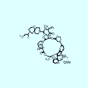 C=CC(=O)N1CCOC2(CCN(C(=O)N(C)C(C(=O)N[C@H]3C[C@H]4CN(CCO4)c4ccc5c(c4)c(c(-c4cccnc4[C@H](C)OC)n5CC)CC(C)(C)COC(=O)[C@@H]4CCCN(N4)C3=O)C(C)C)CC2)C1